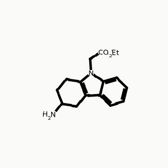 CCOC(=O)Cn1c2c(c3ccccc31)CC(N)CC2